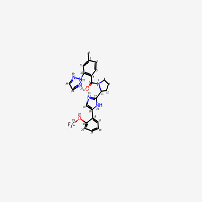 Cc1ccc(C(=O)N2CCCC2c2ncc(-c3ccccc3OC(F)(F)F)[nH]2)c(-n2nccn2)c1